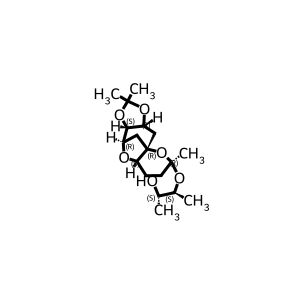 C[C@H](O)[C@H](C)O[C@@]1(C)CC[C@@H]2O[C@@H]3C[C@]2(C[C@H]2OC(C)(C)O[C@@H]32)O1